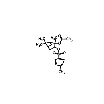 CC(=O)OC1(C)C(OS(=O)(=O)c2ccc(C)cc2)CC2CC1C2(C)C